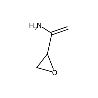 C=C(N)C1CO1